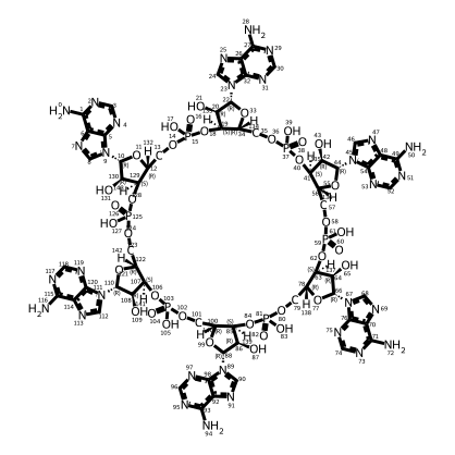 Nc1ncnc2c1ncn2[C@@H]1O[C@@H]2COP(=O)(O)O[C@H]3[C@@H](O)[C@H](n4cnc5c(N)ncnc54)O[C@@H]3COP(=O)(O)O[C@H]3[C@@H](O)[C@H](n4cnc5c(N)ncnc54)O[C@@H]3COP(=O)(O)O[C@H]3[C@@H](O)[C@H](n4cnc5c(N)ncnc54)O[C@@H]3COP(=O)(O)O[C@H]3[C@@H](O)[C@H](n4cnc5c(N)ncnc54)O[C@@H]3COP(=O)(O)O[C@H]3[C@@H](O)[C@H](n4cnc5c(N)ncnc54)O[C@@H]3COP(=O)(O)O[C@H]2[C@H]1O